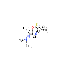 CCCN(C)/C=N/c1cc(C)c(Oc2snc(C(C)(C)C)c2C#N)cc1C